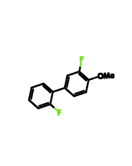 COc1ccc(-c2ccccc2F)cc1F